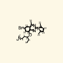 CCC(CCN(C)C)Oc1cc(Br)cc2c(C)nc(-n3c(C)ccc3C)nc12